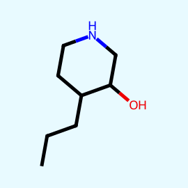 CCCC1CCNCC1O